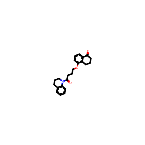 O=C1CCCc2c(OCCCC(=O)N3CCCc4ccccc43)cccc21